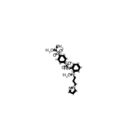 CN(CCCn1cccn1)c1ccccc1NS(=O)(=O)c1ccc(S(=O)(=O)N(C)C)cc1